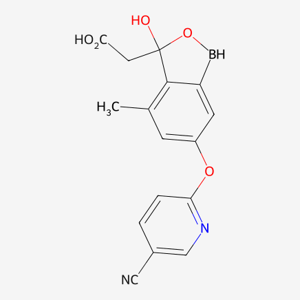 Cc1cc(Oc2ccc(C#N)cn2)cc2c1C(O)(CC(=O)O)OB2